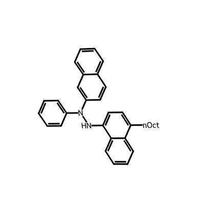 CCCCCCCCc1ccc(NN(c2ccccc2)c2ccc3ccccc3c2)c2ccccc12